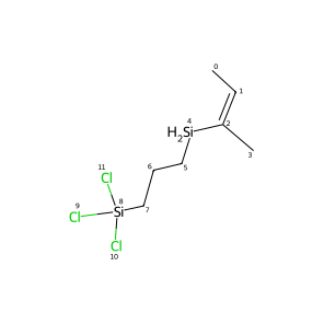 CC=C(C)[SiH2]CCC[Si](Cl)(Cl)Cl